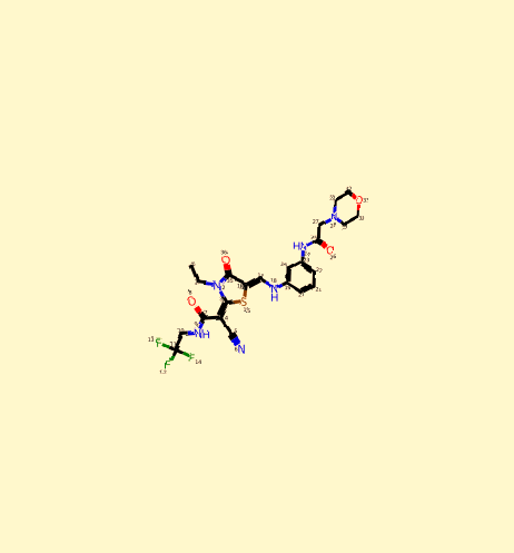 CCn1c(=C(C#N)C(=O)NCC(F)(F)F)sc(=CNc2cccc(NC(=O)CN3CCOCC3)c2)c1=O